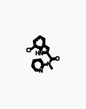 CN(C(=O)c1cc2cccc(Cl)c2[nH]1)c1ccccn1